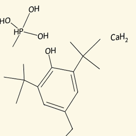 CCc1cc(C(C)(C)C)c(O)c(C(C)(C)C)c1.C[PH](O)(O)O.[CaH2]